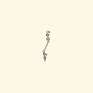 N#Cc1ccc(-c2ccc(OCCCCCCCCOc3ccc(-c4ccc(F)cc4)c(F)c3)cc2)cc1